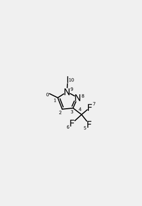 Cc1cc(C(F)(F)F)nn1I